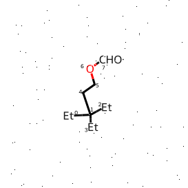 CCC(CC)(CC)CCO[C]=O